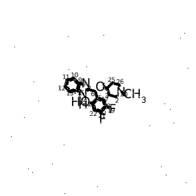 CN1CCC(OC(c2nc3ccccc3[nH]2)c2cc(F)c(F)cc2O)CC1